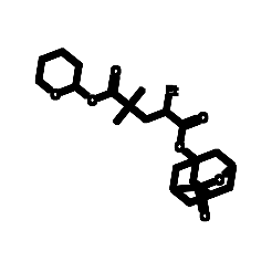 CCC(CC(C)(C)C(=O)OC1CCCCO1)C(=O)OC12CC3CC(C1)OC(=O)C(C3)C2